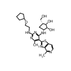 Cc1nc(NCCOC2CCCC2)nc(N[C@@H]2C[C@H](CO)[C@@H](O)[C@H]2O)c1-c1nc2c(C)nccc2s1